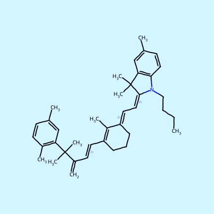 C=C(/C=C/C1=C(C)C(=C/C=C2/N(CCCC)c3ccc(C)cc3C2(C)C)/CCC1)C(C)(C)c1cc(C)ccc1C